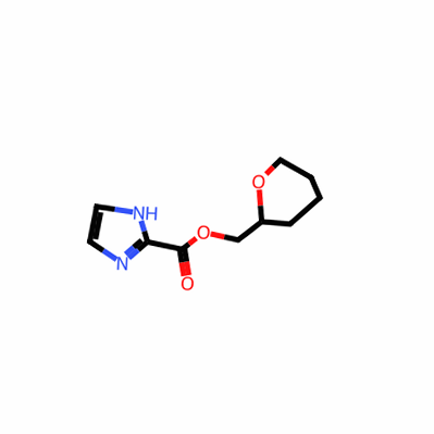 O=C(OCC1CCCCO1)c1ncc[nH]1